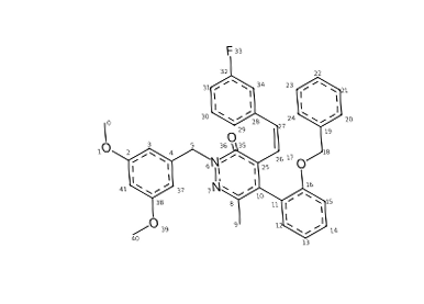 COc1cc(Cn2nc(C)c(-c3ccccc3OCc3ccccc3)c(C=Cc3cccc(F)c3)c2=O)cc(OC)c1